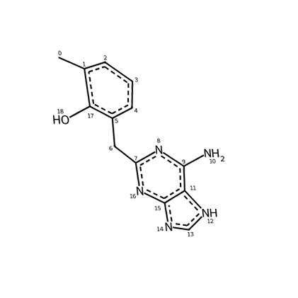 Cc1cccc(Cc2nc(N)c3[nH]cnc3n2)c1O